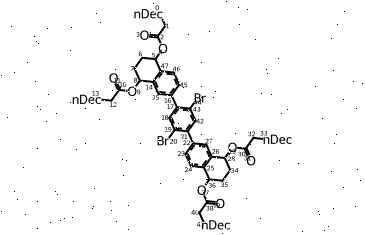 CCCCCCCCCCCC(=O)OC1CCC(OC(=O)CCCCCCCCCCC)c2cc(-c3cc(Br)c(-c4ccc5c(c4)C(OC(=O)CCCCCCCCCCC)CCC5OC(=O)CCCCCCCCCCC)cc3Br)ccc21